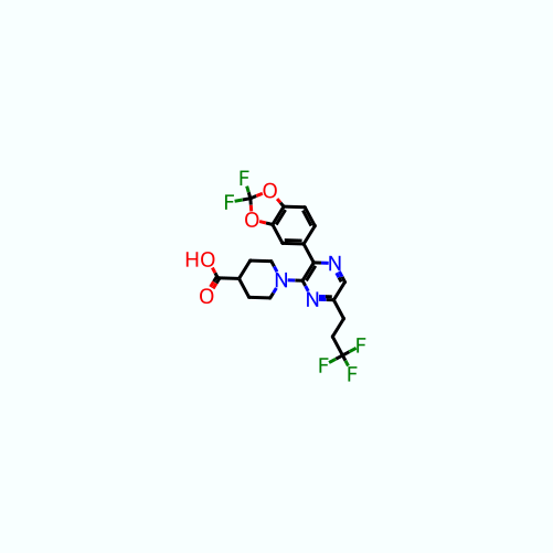 O=C(O)C1CCN(c2nc(CCC(F)(F)F)cnc2-c2ccc3c(c2)OC(F)(F)O3)CC1